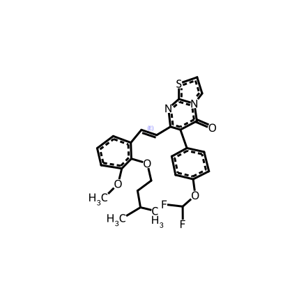 COc1cccc(/C=C/c2nc3sccn3c(=O)c2-c2ccc(OC(F)F)cc2)c1OCCC(C)C